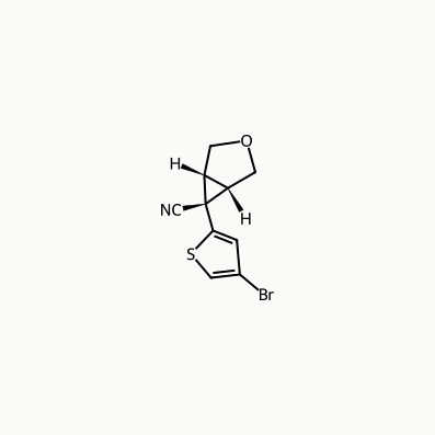 N#C[C@@]1(c2cc(Br)cs2)[C@@H]2COC[C@@H]21